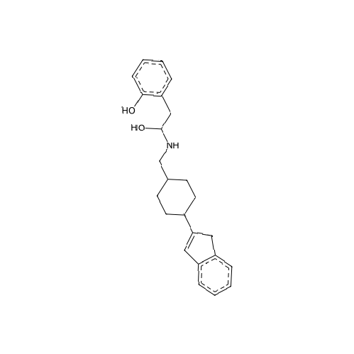 Oc1ccccc1CC(O)NCC1CCC(C2=Cc3ccccc3C2)CC1